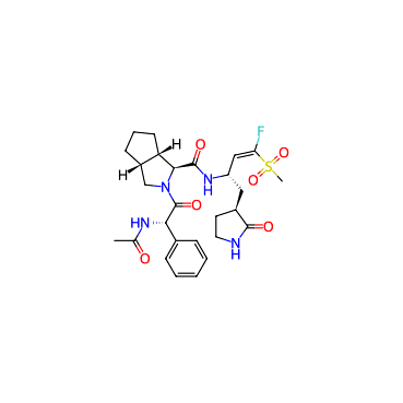 CC(=O)N[C@H](C(=O)N1C[C@@H]2CCC[C@@H]2[C@H]1C(=O)N[C@H](/C=C(/F)S(C)(=O)=O)C[C@@H]1CCNC1=O)c1ccccc1